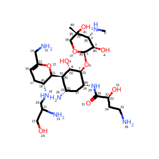 CN[C@@H]1[C@@H](O)[C@@H](O[C@@H]2[C@@H](O)[C@H](C3OC(CN)=CC[C@H]3NCC(N)CO)[C@@H](N)C[C@H]2NC(=O)[C@@H](O)CCN)OC[C@]1(C)O